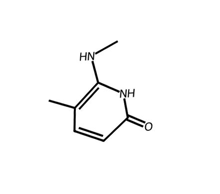 CNc1[nH]c(=O)ccc1C